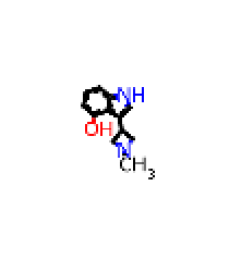 CN1CC(c2c[nH]c3cccc(O)c23)C1